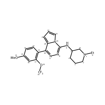 CCN1CCCC(Nc2nnc(-c3ccc(OC)cc3OC(F)(F)F)c3cccn23)C1